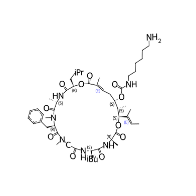 C/C=C(\C)[C@H]1OC(=O)[C@@H](C)NC(=O)[C@H]([C@H](C)CC)NC(=O)CN(C)C(=O)[C@@H](Cc2ccccc2)N(C)C(=O)[C@H](C)NC(=O)[C@@H](CC(C)C)OC(=O)/C(C)=C/C[C@H](OC(=O)NCCCCCCN)[C@@H]1C